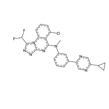 CN(c1cccc(-c2cnc(C3CC3)cn2)c1)c1nc2nnc(C(F)F)n2c2cccc(Cl)c12